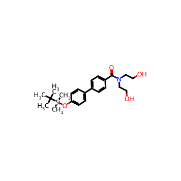 CC(C)(C)[Si](C)(C)Oc1ccc(-c2ccc(C(=O)N(CCO)CCO)cc2)cc1